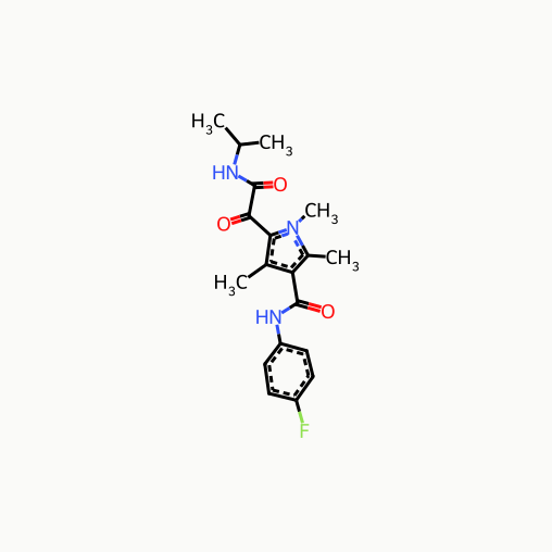 Cc1c(C(=O)Nc2ccc(F)cc2)c(C)n(C)c1C(=O)C(=O)NC(C)C